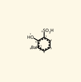 O=S(=O)(O)c1ccccc1O.[BaH2]